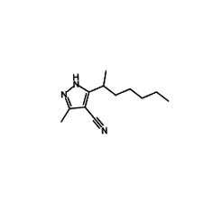 CCCCCC(C)c1[nH]nc(C)c1C#N